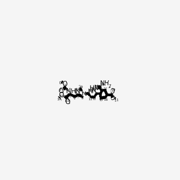 COC(=O)NC(Cc1cn(-c2ccc(-c3ccc(C(=O)OC)cc3C(=N)N)nn2)cn1)C(=O)OC